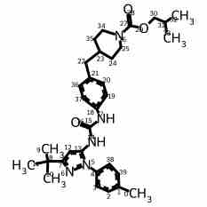 Cc1ccc(-n2nc(C(C)(C)C)cc2NC(=O)Nc2ccc(CC3CCN(C(=O)OCC(C)C)CC3)cc2)cc1